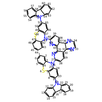 c1ccc2c(c1)Sc1cc(-n3c4ccccc4c4ccccc43)ccc1N2c1ccc2c3nccnc3c3ccc(N4c5ccccc5Sc5cc(-n6c7ccccc7c7ccccc76)ccc54)nc3c2n1